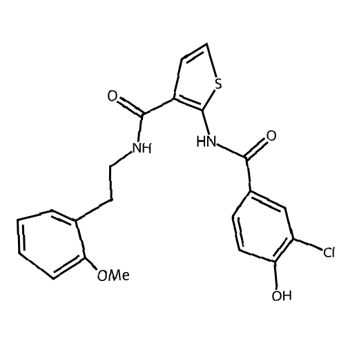 COc1ccccc1CCNC(=O)c1ccsc1NC(=O)c1ccc(O)c(Cl)c1